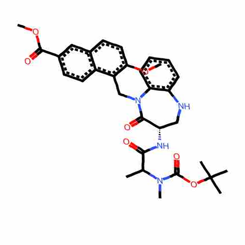 COC(=O)c1ccc2c(CN3C(=O)[C@@H](NC(=O)C(C)N(C)C(=O)OC(C)(C)C)CNc4ccccc43)c(OC)ccc2c1